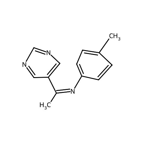 CC(=Nc1ccc(C)cc1)c1cncnc1